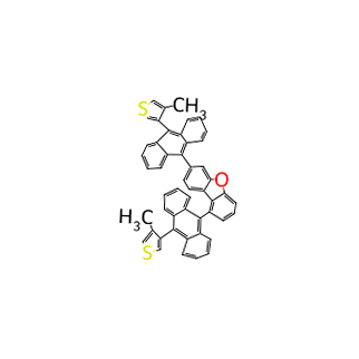 Cc1cscc1-c1c2ccccc2c(-c2ccc3c(c2)oc2cccc(-c4c5ccccc5c(-c5cscc5C)c5ccccc45)c23)c2ccccc12